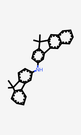 CC1(C)c2ccccc2-c2cc(Nc3ccc4c(c3)-c3cc5ccccc5cc3C4(C)C)ccc21